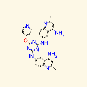 Cc1cc(N)c2cc(Nc3nc(Nc4ccc5nc(C)cc(N)c5c4)nc(Oc4ccncc4)n3)ccc2n1